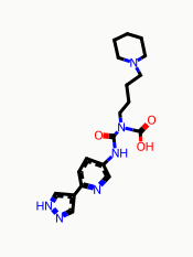 O=C(O)N(CCCCN1CCCCC1)C(=O)Nc1ccc(-c2cn[nH]c2)nc1